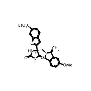 C=C1c2cc(OC)ccc2CN1C[C@@]1(c2cc3ccc(C(=O)OCC)cc3o2)NC(=O)NC1=O